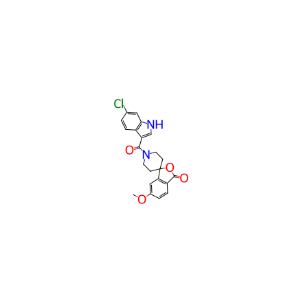 COc1ccc2c(c1)C1(CCN(C(=O)c3c[nH]c4cc(Cl)ccc34)CC1)OC2=O